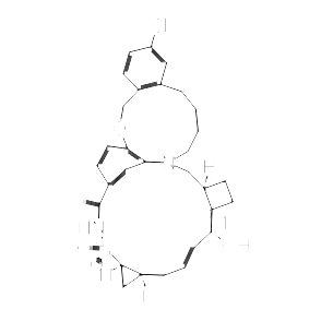 O=C1NS(=O)(=O)[C@H]2C[C@H]2C/C=C/[C@H](O)[C@@H]2CC[C@H]2CN2CCCCc3cc(Cl)ccc3COc3ccc1cc32